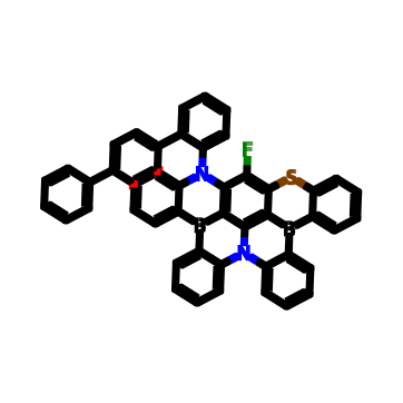 Fc1c2c3c4c5c1N(c1ccccc1-c1ccc(-c6ccccc6)cc1)c1ccccc1B5c1ccccc1N4c1ccccc1B3c1ccccc1S2